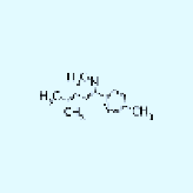 C=N/C(=C\C=C(C)C)c1ccc(C)cn1